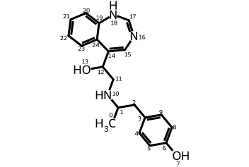 CC(Cc1ccc(O)cc1)NCC(O)C1=CN=CNc2ccccc21